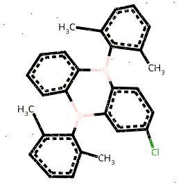 Cc1cccc(C)c1B1c2ccccc2B(c2c(C)cccc2C)c2cc(Cl)ccc21